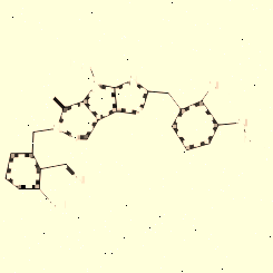 Cn1c2nc(Cc3cccc(NN)c3N)sc2c2cnn(Cc3cccc(N)c3C=N)c(=O)c21